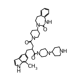 Cc1cc(CC(CC(=O)N2CCC(N3CCc4ccccc4NC3=O)CC2)C(=O)N2CCN(C3CCNCC3)CC2)cc2cc[nH]c12